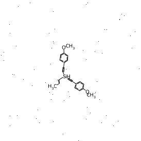 CC=C[SiH](C#Cc1ccc(OC)cc1)C#Cc1ccc(OC)cc1